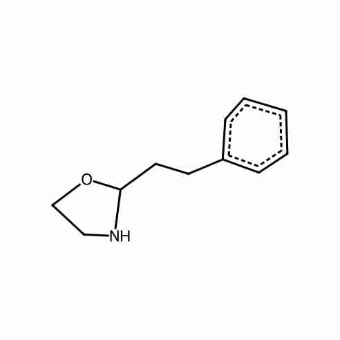 c1ccc(CCC2NCCO2)cc1